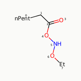 CCCCCCC(=O)ONOCC